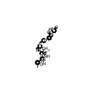 CC1CN(CC2CCN(c3ccc4c(c3)C(=O)N([C@H]3CCC(=O)NC3=O)C4)CC2)Cc2cnn([C@H]3CN4c5cc(-c6cccc(F)c6O)nnc5NC[C@@]4(C(F)F)C3)c21